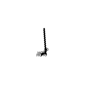 CCCCCCCCCCCCCCCCCCCCCC(=O)OCC(CO)OCC(O)CO